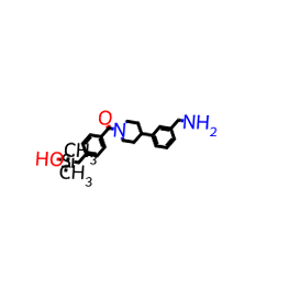 C[Si](C)(O)Cc1ccc(C(=O)N2CCC(c3cccc(CN)c3)CC2)cc1